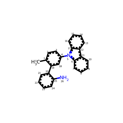 Cc1ccc(-n2c3ccccc3c3ccccc32)cc1-c1ccccc1N